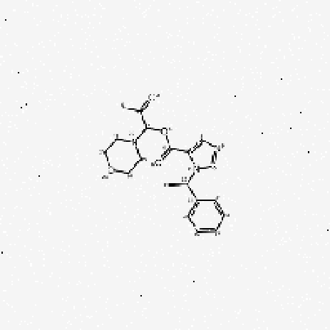 CC(=O)C(OC(=O)c1cncn1[C@H](C)c1ccccc1)N1CCOCC1